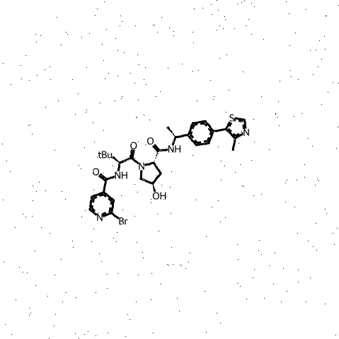 Cc1ncsc1-c1ccc([C@H](C)NC(=O)[C@@H]2C[C@@H](O)CN2C(=O)[C@@H](NC(=O)c2ccnc(Br)c2)C(C)(C)C)cc1